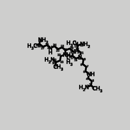 CC(N)CCNCCCCN(CCC(C)N)CC(C)NCC(CCCNCCC(C)N)NCCC(C)N